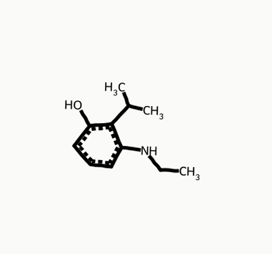 CCNc1cccc(O)c1C(C)C